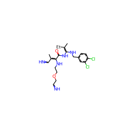 CC/C(C)=C(/NCc1ccc(Cl)c(Cl)c1)NC(=O)/C(NCCOCC=N)=C(\C)C=N